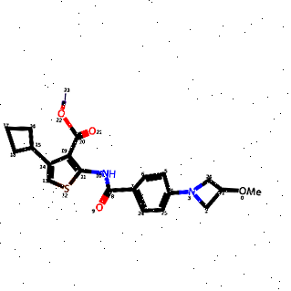 COC1CN(c2ccc(C(=O)Nc3scc(C4CCC4)c3C(=O)OI)cc2)C1